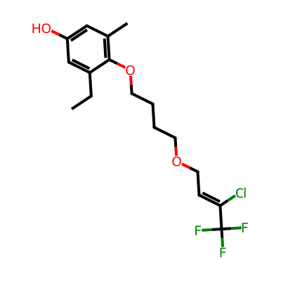 CCc1cc(O)cc(C)c1OCCCCOCC=C(Cl)C(F)(F)F